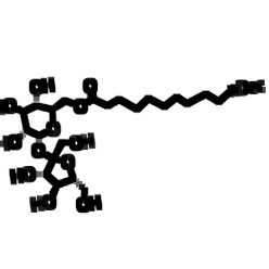 CCCCCCCCCCCCCCCCCCCC(=O)OC[C@H]1O[C@H](O[C@]2(CO)O[C@H](CO)[C@@H](O)[C@@H]2O)[C@H](O)[C@@H](O)[C@@H]1O